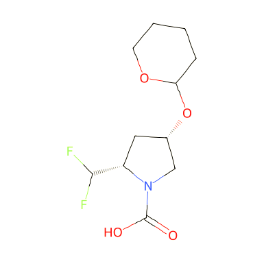 O=C(O)N1C[C@@H](OC2CCCCO2)C[C@H]1C(F)F